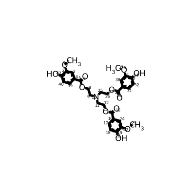 COc1cc(C(=O)OCCN(CCOC(=O)c2ccc(O)c(OC)c2)CCOC(=O)c2ccc(O)c(OC)c2)ccc1O